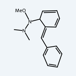 CON(C1C=CC=CC1=Cc1ccccc1)N(C)C